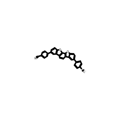 [C-]#[N+]c1ccc(-c2ccc3oc4c(ccc5c6cc(-c7ccc(C#N)cc7)ccc6oc54)c3c2)cc1